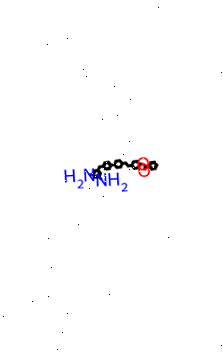 Nc1cc(N)cc(Cc2ccc(C3CCC(CCC4CCC(OC(=O)c5ccccc5)CC4)CC3)cc2)c1